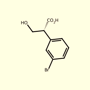 O=C(O)[C@@H](CO)c1cccc(Br)c1